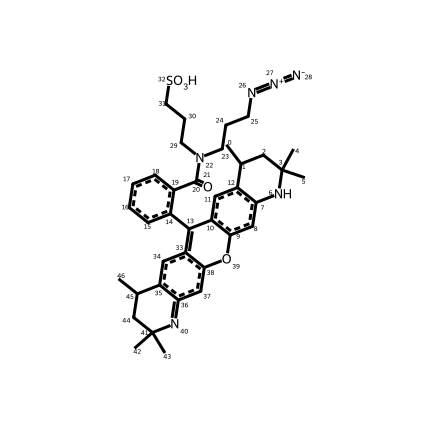 CC1CC(C)(C)Nc2cc3c(cc21)C(c1ccccc1C(=O)N(CCCN=[N+]=[N-])CCCS(=O)(=O)O)=c1cc2c(cc1O3)=NC(C)(C)CC2C